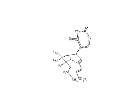 CCOC(=O)C=CC1=CC(n2ccc(=O)[nH]c2=O)CC1C(C)(O[SiH2]C)C(C)(C)C(C)C